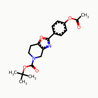 CC(=O)Oc1ccc(-c2nc3c(o2)CCN(C(=O)OC(C)(C)C)C3)cc1